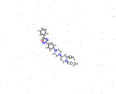 CCOC(=O)N1CCC(N2CCN(c3ccc(-c4noc(-c5ccccc5)n4)cc3)CC2)CC1C